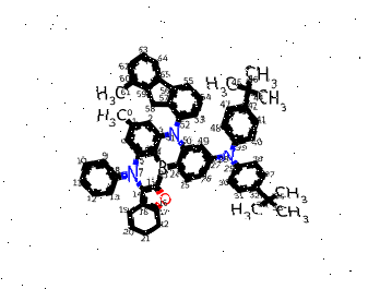 Cc1cc2c3c(c1)N(c1ccccc1)c1c(oc4c1CCCC4)B3c1ccc(N(c3ccc(C(C)(C)C)cc3)c3ccc(C(C)(C)C)cc3)cc1N2c1cccc2c1Cc1c(C)cccc1-2